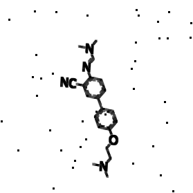 CN(C)C=Nc1ccc(-c2ccc(OCCN(C)C)cc2)cc1C#N